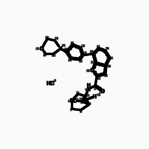 Cl.O=C(N[C@H]1CN2CCC1CC2)c1cc2cccc(-c3ccc(N4CCOCC4)cc3)c2o1